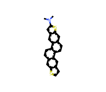 CN(C)c1cc2cc3c(ccc4c5cc6ccsc6cc5ccc34)cc2s1